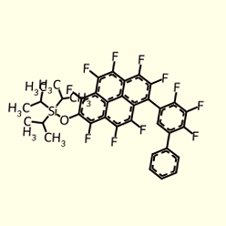 CC(C)[Si](Oc1c(F)c2c(F)c(F)c3c(F)c(F)c(-c4cc(-c5ccccc5)c(F)c(F)c4F)c4c(F)c(F)c(c1F)c2c34)(C(C)C)C(C)C